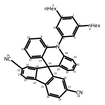 CCCCCCc1cc(CCCCCC)cc(N2c3ccccc3C3(c4cc(C#N)ccc4-c4ccc(C#N)cc43)c3ccccc32)c1